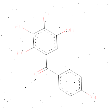 O=C(c1ccc(O)cc1)c1cc(O)c(O)c(O)c1O